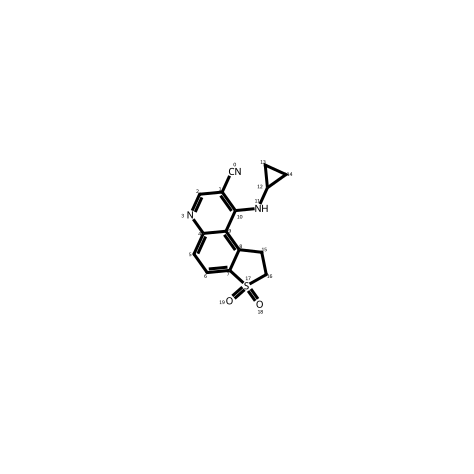 N#Cc1cnc2ccc3c(c2c1NC1CC1)CCS3(=O)=O